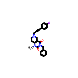 Cn1c2c(c(=O)n(Cc3ccccc3)c1=O)CN(CC#Cc1ccc(I)cc1)CC2